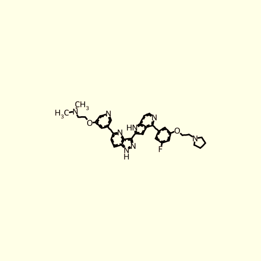 CN(C)CCOc1cncc(-c2ccc3[nH]nc(-c4cc5c(-c6cc(F)cc(OCCN7CCCC7)c6)nccc5[nH]4)c3n2)c1